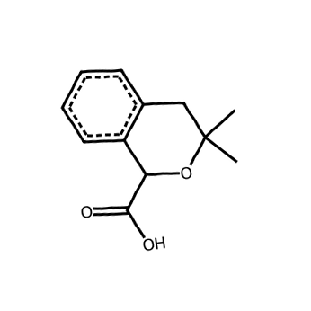 CC1(C)Cc2ccccc2C(C(=O)O)O1